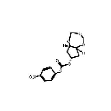 O=C(Oc1ccc([N+](=O)[O-])cc1)O[C@@H]1C[C@@H]2OCOCO[C@@H]2C1